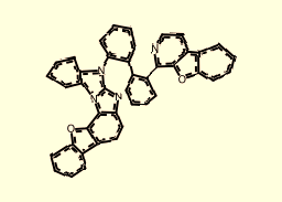 c1ccc(-c2nccc3c2oc2ccccc23)c(-c2ccccc2-n2c3ccccc3n3c4c(ccc5c6ccccc6oc54)nc23)c1